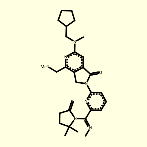 C=C1CCC(C)(C)N1/C(=N\C)c1cccc(N2Cc3c(cc(N(C)CC4CCCC4)nc3CNC)C2=O)n1